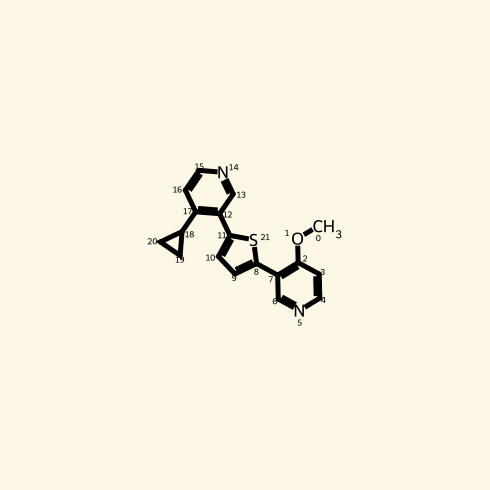 COc1ccncc1-c1ccc(-c2cnccc2C2CC2)s1